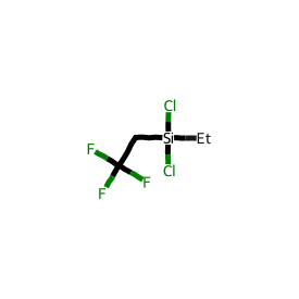 CC[Si](Cl)(Cl)CC(F)(F)F